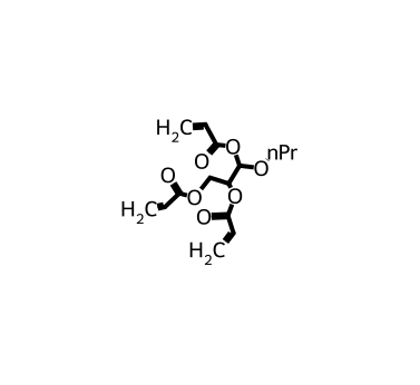 C=CC(=O)OCC(OC(=O)C=C)C(OCCC)OC(=O)C=C